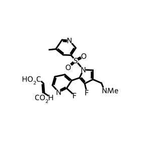 CNCc1cn(S(=O)(=O)c2cncc(C)c2)c(-c2cccnc2F)c1F.O=C(O)C=CC(=O)O